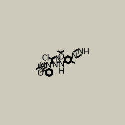 Cc1cc(Nc2ncc(Cl)c(Nc3ccccc3S(=O)(=O)C(C)C)n2)c(OC(C)C)cc1N1CCNCC1